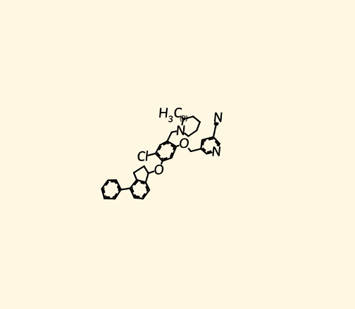 C[C@@H]1CCCCN1Cc1cc(Cl)c(OC2CCc3c(-c4ccccc4)cccc32)cc1OCc1cncc(C#N)c1